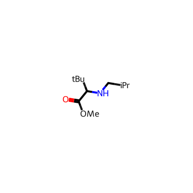 COC(=O)C(NCC(C)C)C(C)(C)C